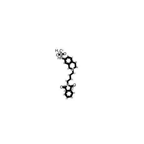 CS(=O)(=O)Nc1ccc2c(c1)CN(CCCCN1C(=O)c3ccccc3C1=O)CC2